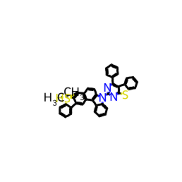 C[SH]12(C)c3ccccc3-c3cc4c(ccc5c4c4ccccc4n5-c4nc(-c5ccccc5)c5c(n4)sc4ccccc45)c1c32